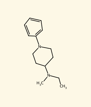 CCN(C)C1CCN(c2ccccc2)CC1